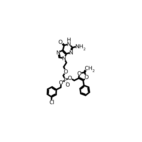 C=C1OC(COP(=O)(COCCn2cnc3c(=O)[nH]c(N)nc32)OCc2cccc(Cl)c2)=C(c2ccccc2)O1